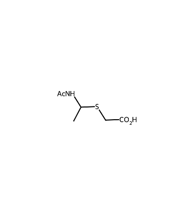 CC(=O)NC(C)SCC(=O)O